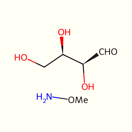 CON.O=C[C@@H](O)[C@H](O)CO